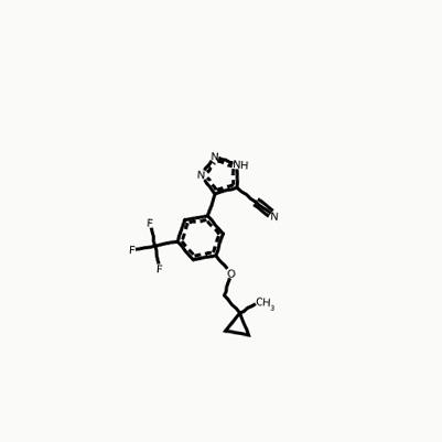 CC1(COc2cc(-c3nn[nH]c3C#N)cc(C(F)(F)F)c2)CC1